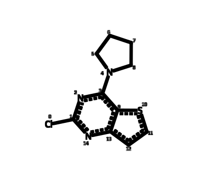 Clc1nc(N2CCCC2)c2sccc2n1